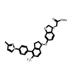 COC(=O)C[C@@H]1COc2cc(O[C@@H]3CCc4c3ccc(C(F)(F)F)c4-c3ccc(-n4ccc(C)n4)cc3)ccc21